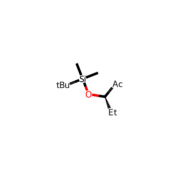 CC[C@@H](O[Si](C)(C)C(C)(C)C)C(C)=O